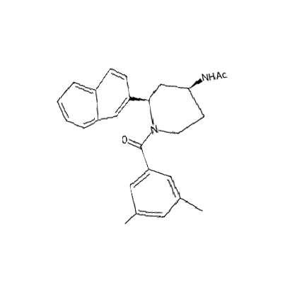 CC(=O)N[C@H]1CCN(C(=O)c2cc(C)cc(C)c2)[C@@H](c2ccc3ccccc3c2)C1